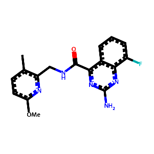 COc1ccc(C)c(CNC(=O)c2nc(N)nc3c(F)cccc23)n1